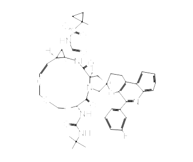 CC(C)(C)NC(=O)N[C@H]1CCCCCC=C[C@@H]2C[C@@]2(C(=O)NS(=O)(=O)C2(C)CC2)NC(=O)[C@@H]2C[C@]3(CCc4c(c(-c5cccc(F)c5)nc5ccccc45)O3)CN2C1=O